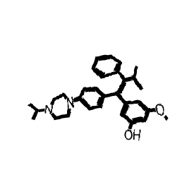 COc1cc(O)cc(/C(=C(/c2ccccc2)C(C)C)c2ccc(N3CCN(C(C)C)CC3)cc2)c1